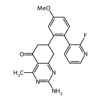 COc1ccc(-c2cccnc2F)c(C2CC(=O)c3c(C)nc(N)nc3C2)c1